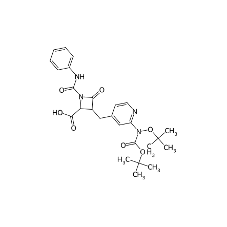 CC(C)(C)OC(=O)N(OC(C)(C)C)c1cc(CC2C(=O)N(C(=O)Nc3ccccc3)C2C(=O)O)ccn1